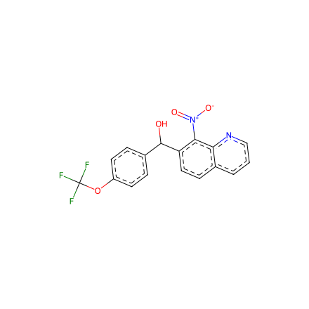 O=[N+]([O-])c1c(C(O)c2ccc(OC(F)(F)F)cc2)ccc2cccnc12